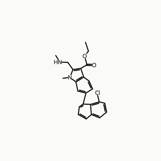 CCOC(=O)c1c(CNC)n(C)c2cc(-c3cccc4cccc(Cl)c34)ccc12